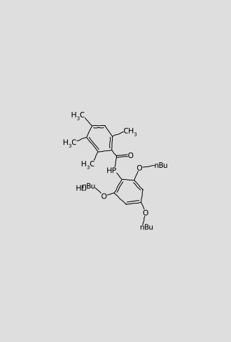 CCCCOc1cc(OCCCC)c(PC(=O)c2c(C)cc(C)c(C)c2C)c(OCCCC)c1.[LiH]